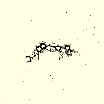 CCC(CC)OC(=O)Nc1ccc2ccc(CC[C@@]3(C)C[C@@H](c4ccc5c(N)ncnn45)[C@H](O)[C@@H]3O)cc2n1